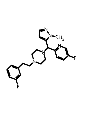 Cn1nccc1C(c1ccc(F)cn1)N1CCN(CCc2cccc(F)c2)CC1